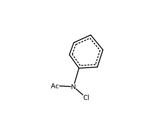 [CH2]C(=O)N(Cl)c1ccccc1